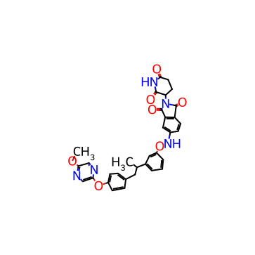 COc1cnc(Oc2ccc(CC(C)c3cccc(ONc4ccc5c(c4)C(=O)N(C4CCC(=O)NC4=O)C5=O)c3)cc2)cn1